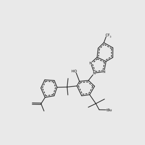 C=C(C)c1cccc(C(C)(C)c2cc(C(C)(C)CC(C)(C)C)cc(-n3nc4ccc(C(F)(F)F)cc4n3)c2O)c1